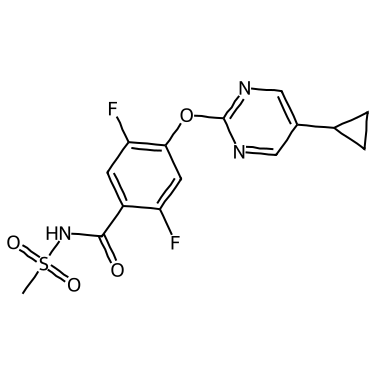 CS(=O)(=O)NC(=O)c1cc(F)c(Oc2ncc(C3CC3)cn2)cc1F